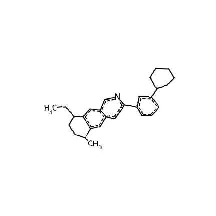 CCC1CCC(C)c2cc3cc(-c4cccc(C5CCCCC5)c4)ncc3cc21